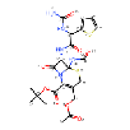 CC(=O)OCC1=C(C(=O)OC(C)(C)C)N2C(=O)[C@H](NC(=O)C(NC(N)=O)c3cccs3)C2(NC=O)SC1